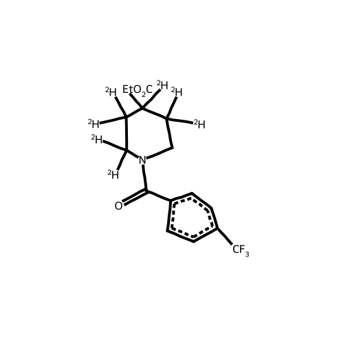 [2H]C1([2H])CN(C(=O)c2ccc(C(F)(F)F)cc2)C([2H])([2H])C([2H])([2H])C1([2H])C(=O)OCC